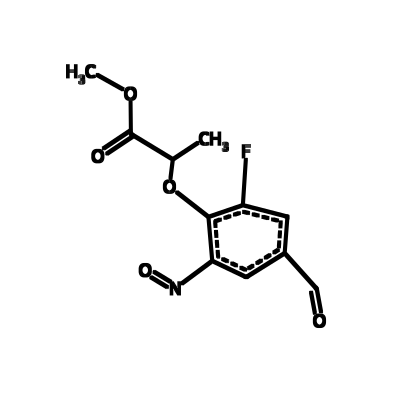 COC(=O)C(C)Oc1c(F)cc(C=O)cc1N=O